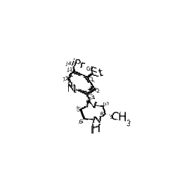 CCc1cc(N2CCN[C@@H](C)C2)ncc1C(C)C